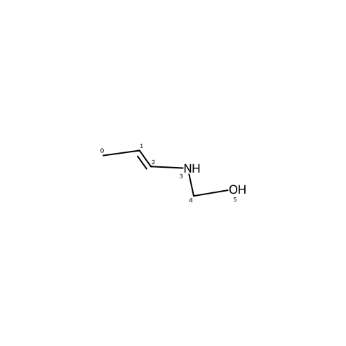 CC=CNCO